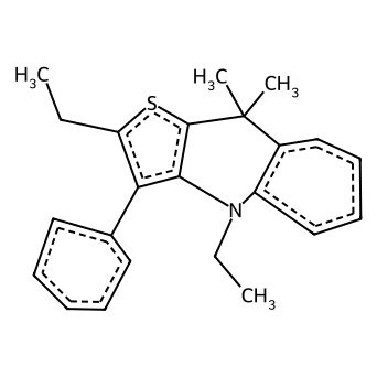 CCc1sc2c(c1-c1ccccc1)N(CC)c1ccccc1C2(C)C